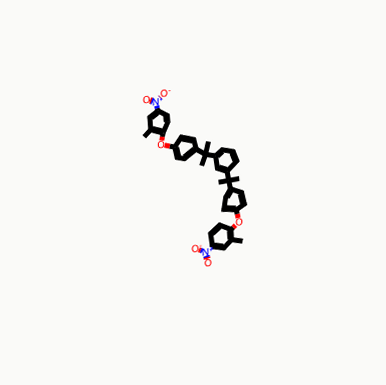 Cc1cc([N+](=O)[O-])ccc1Oc1ccc(C(C)(C)c2cccc(C(C)(C)c3ccc(Oc4ccc([N+](=O)[O-])cc4C)cc3)c2)cc1